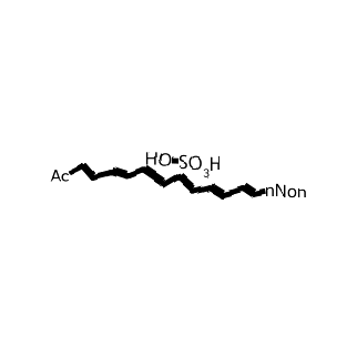 CCCCCCCCCC=CC=CC=CC=CC=CC=CC(C)=O.O=S(=O)(O)O